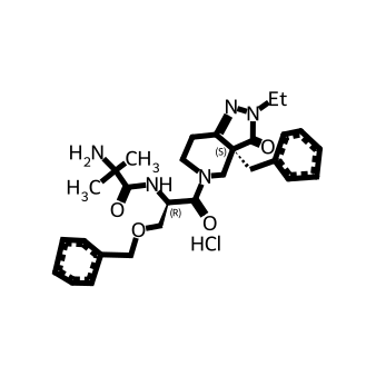 CCN1N=C2CCN(C(=O)[C@@H](COCc3ccccc3)NC(=O)C(C)(C)N)C[C@]2(Cc2ccccc2)C1=O.Cl